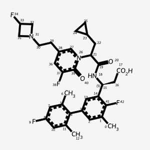 Cc1cc(-c2c(C)cc(F)cc2C)cc([C@H](CC(=O)O)NC(=O)C(CC2CC2)n2cc(CCN3CC(F)C3)cc(F)c2=O)c1F